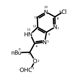 CCCCC(O[C]=O)c1nc2nc(Cl)ncc2[nH]1